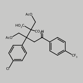 CC(=O)OCC(C(=O)O)(C(=O)O)C(COC(C)=O)(CC(=O)c1ccc(C(F)(F)F)cc1)c1ccc(Cl)cc1